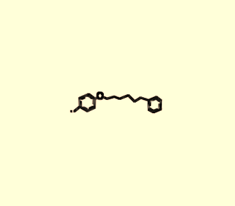 [CH2]c1ccc(OCCCCCCc2ccccc2)cc1